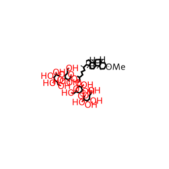 CO[C@@H]1CC[C@@]2(C)[C@H](CC[C@@H]3[C@@H]2CC[C@]2(C)[C@@H]([C@H](C)CCCC(CO[C@@H]4OC(CO)[C@@H](O[C@H]5OC(CO)[C@@H](O)[C@H](O)C5O)[C@H](O)C4O)CO[C@@H]4OC(CO)[C@@H](O[C@@H]5OC(CO)[C@@H](O)[C@H](O)C5O)[C@H](O)C4O)CC[C@@H]32)C1